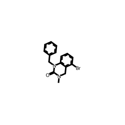 CN1Cc2c(Br)cccc2N(Cc2ccccc2)C1=O